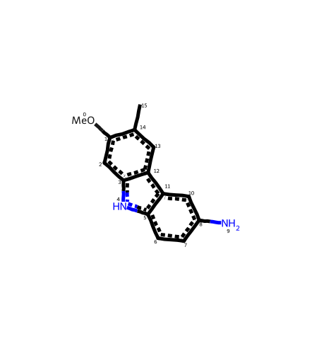 COc1cc2[nH]c3ccc(N)cc3c2cc1C